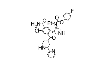 CCN(C(=O)Oc1ccc(F)cc1)[C@@H]1CNC[C@H]1c1cc(C(N)=O)c(Cl)cc1C(=O)C1CCNC(c2ccccn2)C1